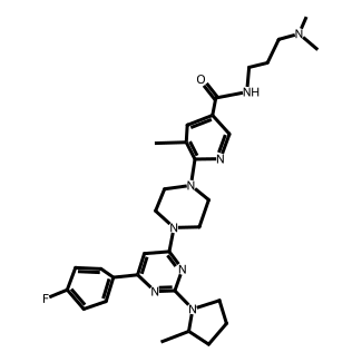 Cc1cc(C(=O)NCCCN(C)C)cnc1N1CCN(c2cc(-c3ccc(F)cc3)nc(N3CCCC3C)n2)CC1